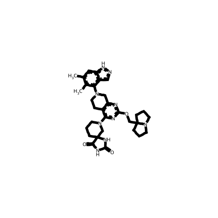 Cc1cc2[nH]ncc2c(N2CCc3c(nc(OCC45CCCN4CCC5)nc3N3CCCC4(C3)NC(=O)NC4=O)C2)c1C